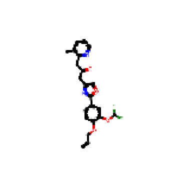 C=CCOc1ccc(-c2nc(CC(=O)Cc3ncccc3C)co2)cc1OC(F)F